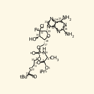 CC(C)OC(=O)[C@@H](C)N[P@](=O)(OCCSC(=O)C(C)(C)C)OC[C@H]1O[C@@H](n2cnc3c(N)nc(N)nc32)[C@@](F)(Cl)[C@@H]1O